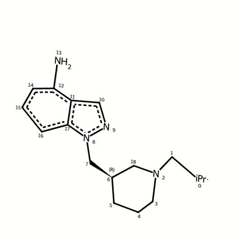 C[C](C)CN1CCC[C@@H](Cn2ncc3c(N)cccc32)C1